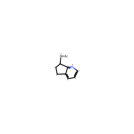 CC(=O)NC1CCc2cccnc21